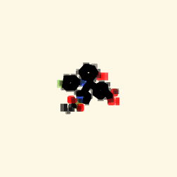 CS(=O)(=O)N1CCC(c2c(-c3ccc(C(=O)O)cc3)c3c(O)cccc3n2-c2ccc(F)cc2)C1